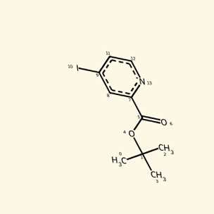 CC(C)(C)OC(=O)c1cc(I)ccn1